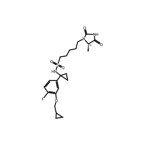 C[C@@H]1C(=O)NC(=O)N1CCCCCS(=O)(=O)NC1(c2ccc(F)c(OCC3CC3)c2)CC1